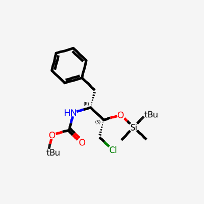 CC(C)(C)OC(=O)N[C@H](Cc1ccccc1)[C@@H](CCl)O[Si](C)(C)C(C)(C)C